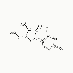 CC(=O)OC[C@H]1C[C@@H](n2ccc(=O)[nH]c2=O)[C@H](OC(C)=O)[C@@H]1OC(C)=O